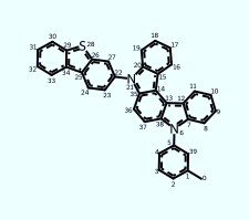 Cc1cccc(-n2c3ccccc3c3c4c5ccccc5n(-c5ccc6c(c5)sc5ccccc56)c4ccc32)c1